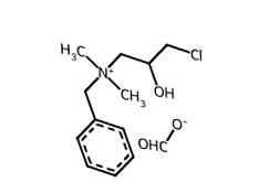 C[N+](C)(Cc1ccccc1)CC(O)CCl.O=C[O-]